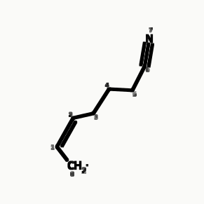 [CH2]/C=C\CCCC#N